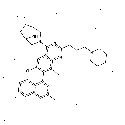 Cc1cc(-c2c(Cl)cc3c(N4CC5CCC(C4)N5)nc(CCCN4CCCCC4)nc3c2F)c2ccccc2c1